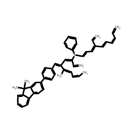 C=C\C=C/C=C/C(C=C)=C/C=C/N(/C(C=C)=C/C(=C/c1ccc(-c2ccc3c(c2)C(C)(C)c2ccccc2-3)cc1)C(/C)=C/C=C\C)c1ccccc1